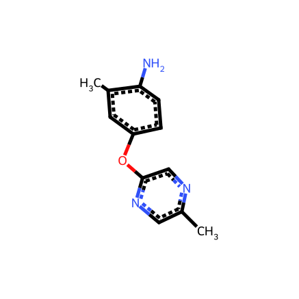 Cc1cnc(Oc2ccc(N)c(C)c2)cn1